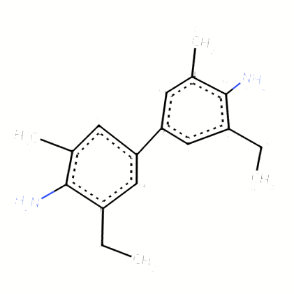 CCc1cc(-c2cc(C)c(N)c(CC)c2)cc(C)c1N